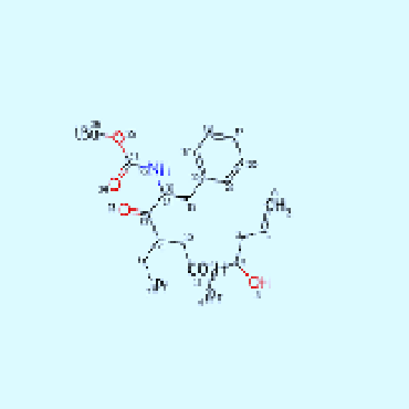 C=CCC(O)CC(C)C.CC(C)CC(CC(=O)O)C(=O)[C@H](Cc1ccccc1)NC(=O)OC(C)(C)C